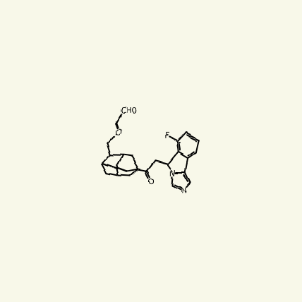 O=CCOCC1C2CC3CC1CC(C(=O)CC1c4c(F)cccc4-c4cncn41)(C3)C2